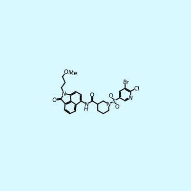 COCCCN1C(=O)c2cccc3c(NC(=O)C4CCCN(S(=O)(=O)c5cnc(Cl)c(Br)c5)C4)ccc1c23